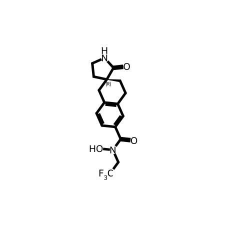 O=C(c1ccc2c(c1)CC[C@]1(CCNC1=O)C2)N(O)CC(F)(F)F